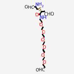 NC(C=O)CSC(CC=O)C(=O)NCCOCCOCCOCCOCCOCCOCCC=O